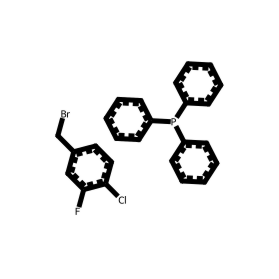 Fc1cc(CBr)ccc1Cl.c1ccc(P(c2ccccc2)c2ccccc2)cc1